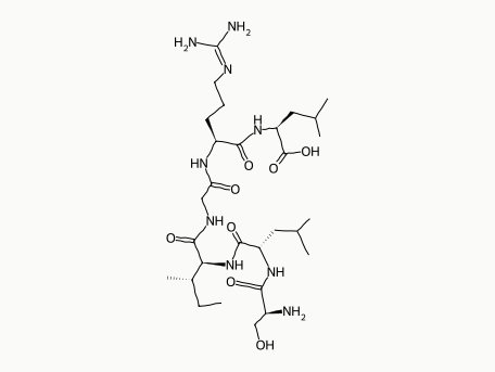 CC[C@H](C)[C@H](NC(=O)[C@H](CC(C)C)NC(=O)[C@@H](N)CO)C(=O)NCC(=O)N[C@@H](CCCN=C(N)N)C(=O)N[C@@H](CC(C)C)C(=O)O